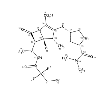 CC(C)CC(F)(F)C(=O)N[C@H](C)[C@H]1C(=O)N2C(C(=O)O)=C(S[C@@H]3CN[C@H](C(=O)N(C)C)C3)[C@H](C)[C@H]12